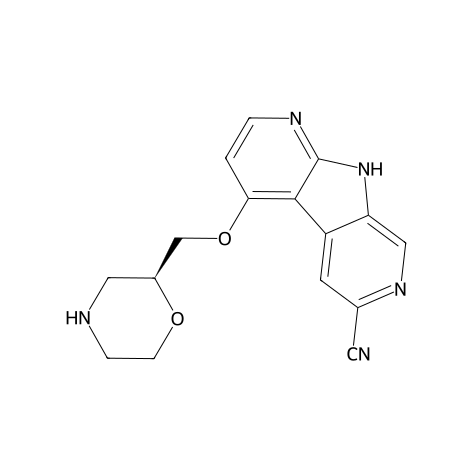 N#Cc1cc2c(cn1)[nH]c1nccc(OC[C@@H]3CNCCO3)c12